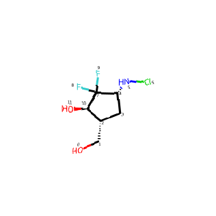 OC[C@H]1C[C@@H](NCl)C(F)(F)[C@@H]1O